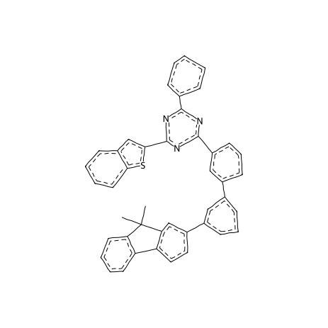 CC1(C)c2ccccc2-c2ccc(-c3cccc(-c4cccc(-c5nc(-c6ccccc6)nc(-c6cc7ccccc7s6)n5)c4)c3)cc21